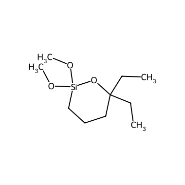 CCC1(CC)CCC[Si](OC)(OC)O1